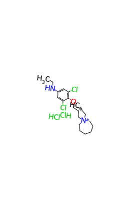 C#CC[N+]1(CCCOc2c(Cl)cc(NCC)cc2Cl)CCCCCC1.Cl.Cl